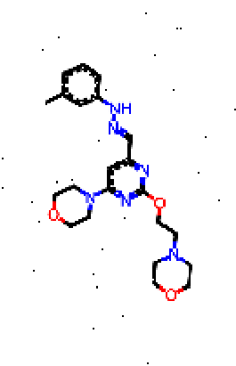 Cc1cccc(NN=Cc2cc(N3CCOCC3)nc(OCCN3CCOCC3)n2)c1